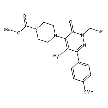 CSc1ccc(-c2nn(CC(C)C)c(=O)c(N3CCN(C(=O)OC(C)(C)C)CC3)c2C)cc1